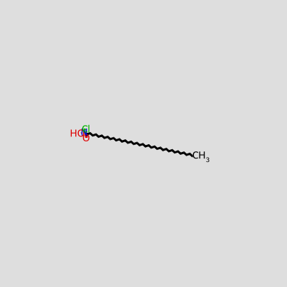 CCCCCCCCCCCCCCCCCCCCCCCCCCCCCCCCCCCCCC(=O)N(O)Cl